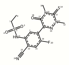 CCS(=O)(=O)Nc1cc(-c2nn(C)c(=S)n(C)c2=O)c(F)cc1C#N